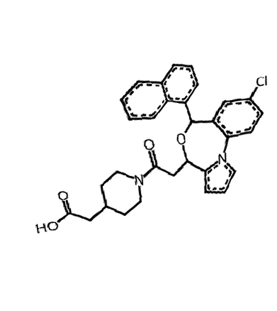 O=C(O)CC1CCN(C(=O)CC2OC(c3cccc4ccccc34)c3cc(Cl)ccc3-n3cccc32)CC1